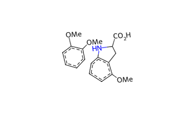 COc1cccc2c1CC(C(=O)O)N2.COc1ccccc1OC